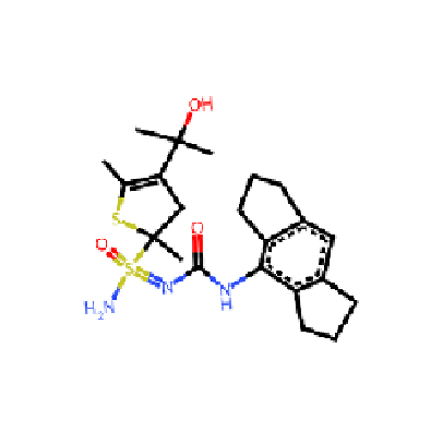 CC1=C(C(C)(C)O)CC(C)(S(N)(=O)=NC(=O)Nc2c3c(cc4c2CCC4)CCC3)S1